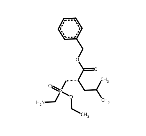 CCOP(=O)(CN)C[C@@H](CC(C)C)C(=O)OCc1ccccc1